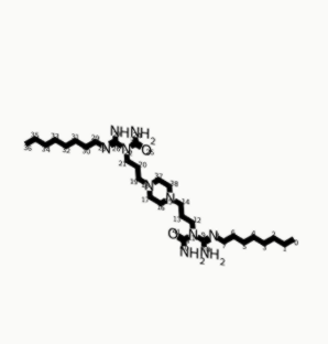 CCCCCCCCN=C(N)N(CCCN1CCN(CCCN(C(N)=O)C(N)=NCCCCCCCC)CC1)C(N)=O